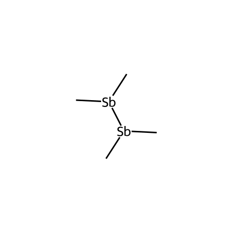 [CH3][Sb]([CH3])[Sb]([CH3])[CH3]